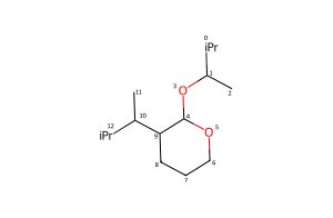 CC(C)C(C)OC1OCCCC1C(C)C(C)C